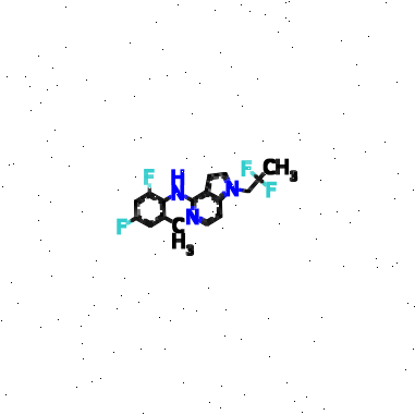 Cc1cc(F)cc(F)c1Nc1nccc2c1ccn2CC(C)(F)F